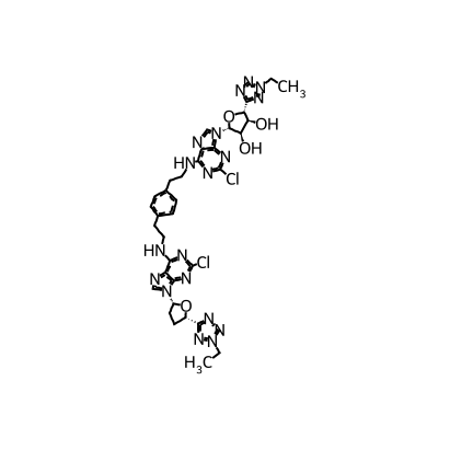 CCn1nnc([C@@H]2CC[C@H](n3cnc4c(NCCc5ccc(CCNc6nc(Cl)nc7c6ncn7[C@@H]6O[C@H](c7nnn(CC)n7)[C@@H](O)[C@H]6O)cc5)nc(Cl)nc43)O2)n1